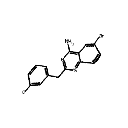 Nc1nc(Cc2cccc(Cl)c2)nc2ccc(Br)cc12